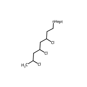 CCCCCCCCCC(Cl)CC(Cl)CC(C)Cl